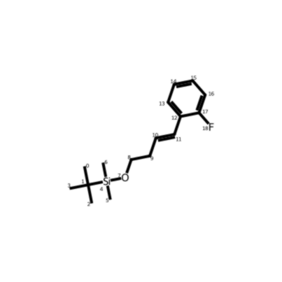 CC(C)(C)[Si](C)(C)OCCC=Cc1ccccc1F